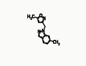 Cc1ccc2cnn(Cc3cc(C)on3)c2c1